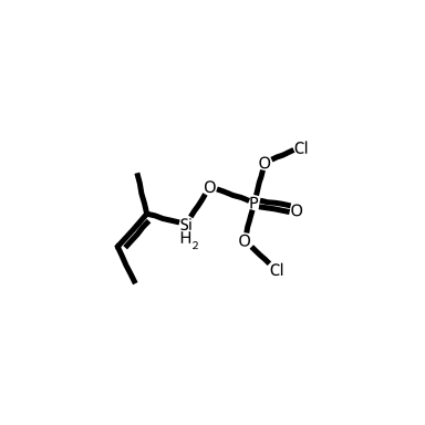 CC=C(C)[SiH2]OP(=O)(OCl)OCl